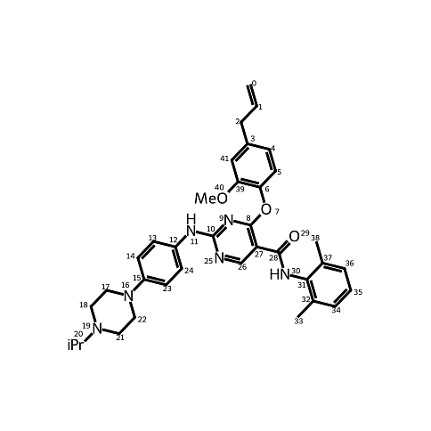 C=CCc1ccc(Oc2nc(Nc3ccc(N4CCN(C(C)C)CC4)cc3)ncc2C(=O)Nc2c(C)cccc2C)c(OC)c1